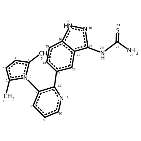 Cc1ccc(C)n1-c1cccnc1-c1ccc2[nH]nc(NC(N)=S)c2c1